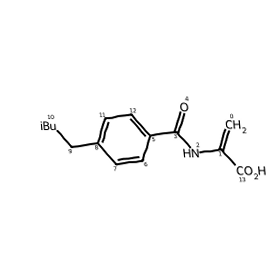 C=C(NC(=O)c1ccc(CC(C)CC)cc1)C(=O)O